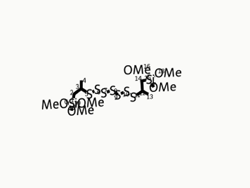 CO[Si](CC(C)SSSSSSSC(C)C[Si](OC)(OC)OC)(OC)OC